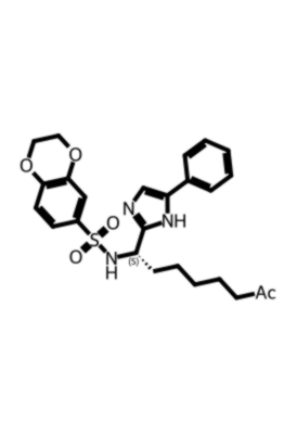 CC(=O)CCCCC[C@H](NS(=O)(=O)c1ccc2c(c1)OCCO2)c1ncc(-c2ccccc2)[nH]1